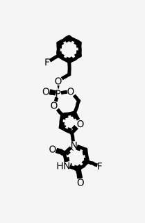 O=c1[nH]c(=O)n(-c2cc3c(o2)CO[P@@](=O)(OCc2ccccc2F)O3)cc1F